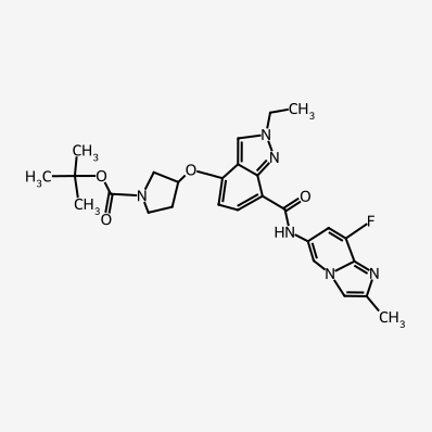 CCn1cc2c(OC3CCN(C(=O)OC(C)(C)C)C3)ccc(C(=O)Nc3cc(F)c4nc(C)cn4c3)c2n1